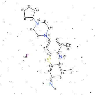 CCc1cc(N(C)C)cc2[s+]c3cc(N4CCN(C5CCCC5)CC4)cc(CC)c3nc12.[I-]